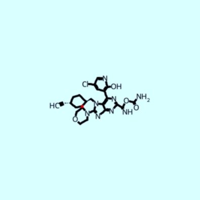 C#C[C@H]1CC[C@H](Cn2c(N3CCOCC3)nc3nc(C(=N)OC(N)=O)nc(-c4cc(Cl)cnc4O)c32)CC1